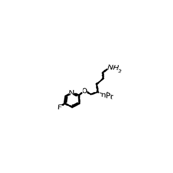 CCC[C@@H](CCCN)COc1ccc(F)cn1